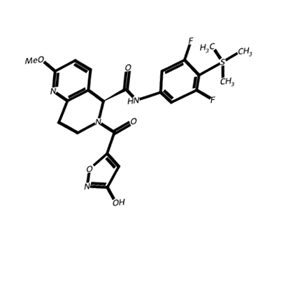 COc1ccc2c(n1)CCN(C(=O)c1cc(O)no1)[C@@H]2C(=O)Nc1cc(F)c(S(C)(C)C)c(F)c1